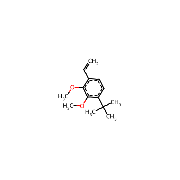 C=Cc1ccc(C(C)(C)C)c(OC)c1OC